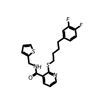 O=C(NCc1cccs1)c1cccnc1SCCCCc1ccc(F)c(F)c1